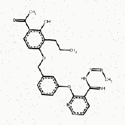 CCCc1c(OCc2cccc(Oc3ncccc3C(=N)N/N=N\C)c2)ccc(C(C)=O)c1O